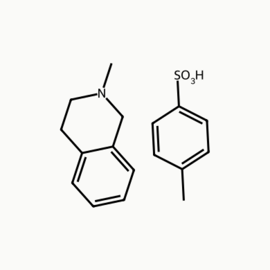 CN1CCc2ccccc2C1.Cc1ccc(S(=O)(=O)O)cc1